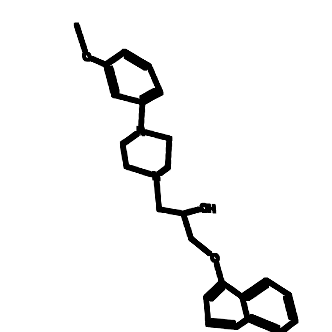 COc1cccc(N2CCN(CC(O)COc3cccc4ccccc34)CC2)c1